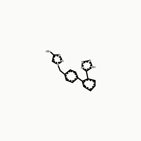 CCCCc1cn(Cc2ccc(-c3ccccc3-c3nnn[nH]3)cc2)nn1